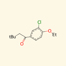 CCOc1ccc(C(=O)CC(C)(C)C)cc1Cl